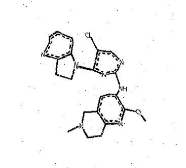 COc1nc2c(cc1Nc1ncc(Cl)c(N3CCc4ncccc43)n1)CN(C)CC2